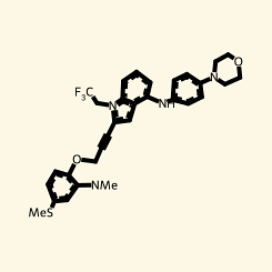 CNc1cc(SC)ccc1OCC#Cc1cc2c(Nc3ccc(N4CCOCC4)cc3)cccc2n1CC(F)(F)F